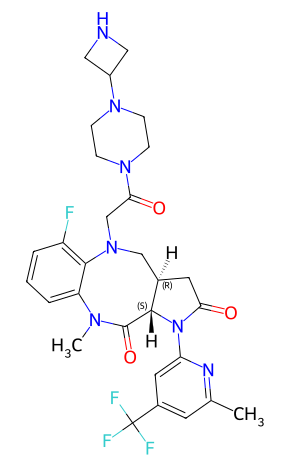 Cc1cc(C(F)(F)F)cc(N2C(=O)C[C@@H]3CN(CC(=O)N4CCN(C5CNC5)CC4)c4c(F)cccc4N(C)C(=O)[C@H]32)n1